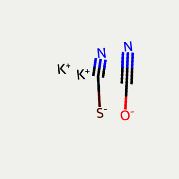 N#C[O-].N#C[S-].[K+].[K+]